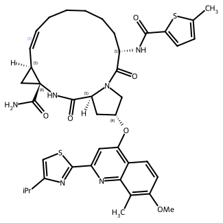 COc1ccc2c(O[C@@H]3C[C@H]4C(=O)N[C@]5(C(N)=O)C[C@H]5/C=C\CCCCC[C@H](NC(=O)c5ccc(C)s5)C(=O)N4C3)cc(-c3nc(C(C)C)cs3)nc2c1C